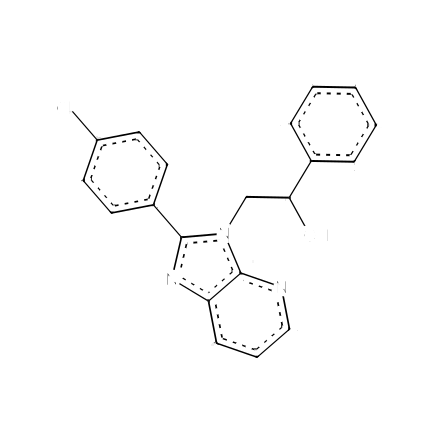 OC(Cn1c(-c2ccc(Cl)cc2)nc2cccnc21)c1ccccc1